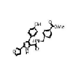 COC(=O)c1ccc(CNC(=O)c2[nH]c(-c3ccoc3)cc2-c2ccc(O)cc2)cc1